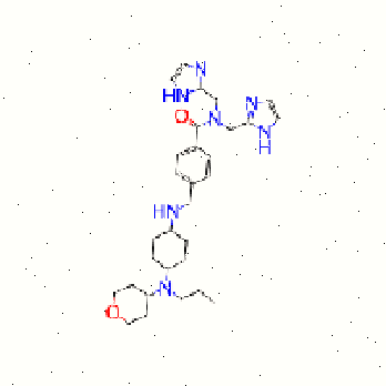 CCCN(C1CCOCC1)C1CCC(NCc2ccc(C(=O)N(Cc3ncc[nH]3)Cc3ncc[nH]3)cc2)CC1